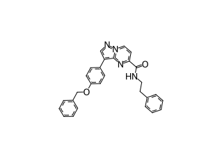 O=C(NCCc1ccccc1)c1ccn2ncc(-c3ccc(OCc4ccccc4)cc3)c2n1